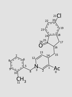 CC(=O)C1=CN(Cc2ccccc2C)C=CC1CC1Cc2cc(Cl)ccc2C1=O